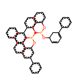 C1=CC(OP(Oc2ccccc2COP(Oc2cccc(-c3ccccc3)c2)Oc2ccccc2-c2ccccc2)Oc2ccccc2-c2ccccc2)CC(c2ccccc2)=C1